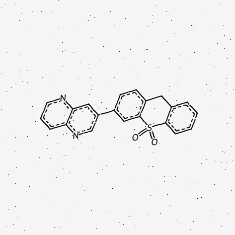 O=S1(=O)c2ccccc2Cc2ccc(-c3cnc4cccnc4c3)cc21